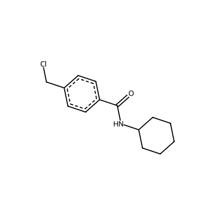 O=C(NC1CCCCC1)c1ccc(CCl)cc1